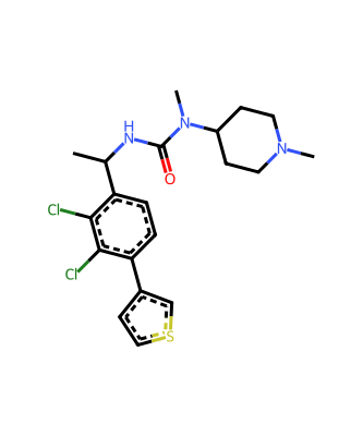 CC(NC(=O)N(C)C1CCN(C)CC1)c1ccc(-c2ccsc2)c(Cl)c1Cl